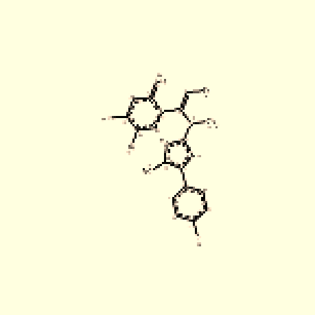 CC/C=C(\N(C)c1nc(-c2ccc(F)cc2)c(C#N)s1)n1cc(Br)c(F)cc1=N